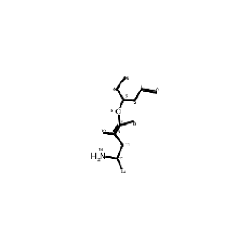 C=CCC(CC)O/C(C)=C(\C)CC(C)N